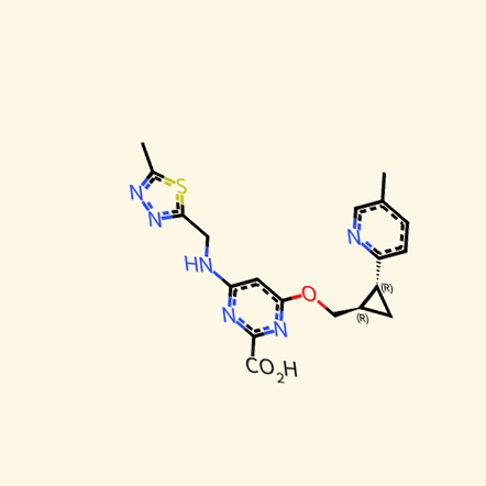 Cc1ccc([C@@H]2C[C@H]2COc2cc(NCc3nnc(C)s3)nc(C(=O)O)n2)nc1